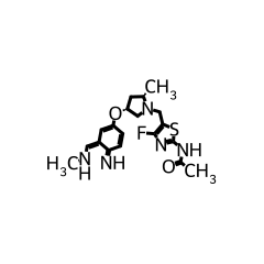 CN/C=C1/C=C(O[C@@H]2C[C@H](C)N(Cc3sc(NC(C)=O)nc3F)C2)C=CC1=N